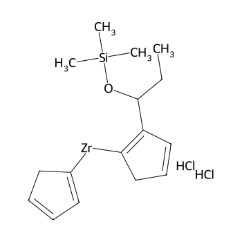 CCC(O[Si](C)(C)C)C1=[C]([Zr][C]2=CC=CC2)CC=C1.Cl.Cl